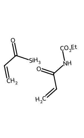 C=CC(=O)NC(=O)OCC.C=CC(=O)[SiH3]